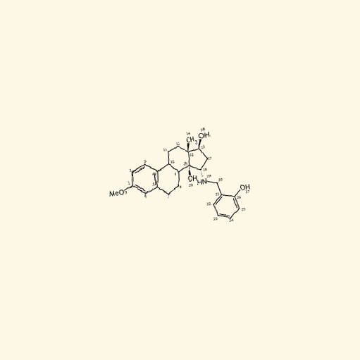 COc1ccc2c(c1)CCC1C2CC[C@]2(C)[C@@H](O)C[C@H](NCc3ccccc3O)[C@]12O